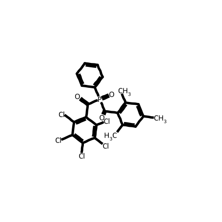 Cc1cc(C)c(C(=O)P(=O)(C(=O)c2c(Cl)c(Cl)c(Cl)c(Cl)c2Cl)c2ccccc2)c(C)c1